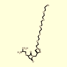 CC(C)CCOCCOCCOCCOCCOCCn1cc(CN2C(=O)CC(SCC(N)C(=O)O)C2=O)nn1